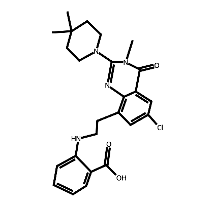 Cn1c(N2CCC(C)(C)CC2)nc2c(CCNc3ccccc3C(=O)O)cc(Cl)cc2c1=O